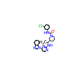 CC(Nc1nccc(-n2cnc3ccccc32)n1)C1CCCN(C(=O)Nc2cccc(Cl)c2)C1